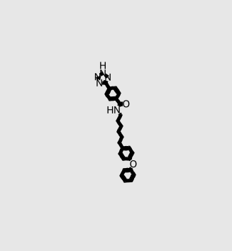 O=C(NCCCCCCc1ccc(Oc2ccccc2)cc1)c1ccc(-c2nn[nH]n2)cc1